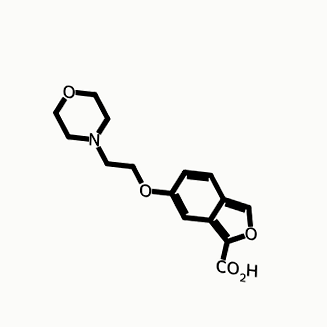 O=C(O)c1occ2ccc(OCCN3CCOCC3)cc12